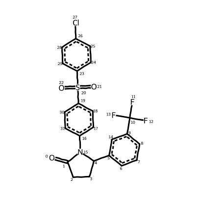 O=C1CCC(c2cccc(C(F)(F)F)c2)N1c1ccc(S(=O)(=O)c2ccc(Cl)cc2)cc1